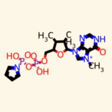 CC1C(COP(=O)(O)OP(=O)(O)n2cccc2)OC(n2c[n+](C)c3c(=O)[nH]cnc32)C1C